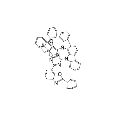 c1ccc(-c2cccc(-c3nc(-c4cccc5nc(-c6ccccc6)oc45)nc(-n4c5ccccc5c5ccc6c7ccccc7n(-c7cccc8c7oc7ccccc78)c6c54)n3)c2)cc1